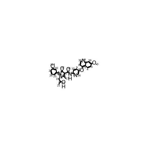 COc1ccc2c(Oc3ccc(NC(=O)c4c(C)n(CC(C)O)n(-c5cccc(Cl)c5)c4=O)nc3)ccnc2c1